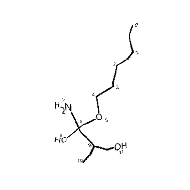 CCCCCOC(N)(O)C(C)O